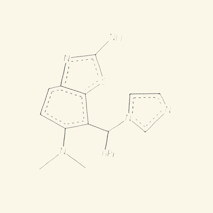 CCCC(c1c(N(C)C)ccc2nc(N)sc12)n1ccnc1